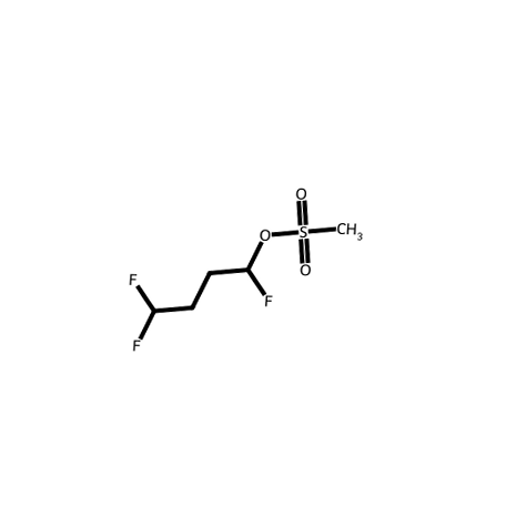 CS(=O)(=O)OC(F)CCC(F)F